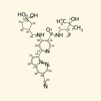 CC(C)(O)C(F)CNC(=O)c1cnc(-c2ccc3cc(C#N)cnn23)cc1NCC1CCS(O)(O)C1